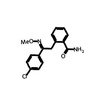 CON=C(Cc1ccccc1C(N)=O)c1ccc(Cl)cc1